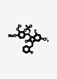 CCOc1cc([C@H](CS(C)(=O)=O)n2c(=O)n(Cc3ccccc3F)c3cc(C(F)(F)F)cc(F)c32)ccc1OC